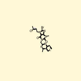 C/C(Cl)=C/Cn1c(Br)nc2c1c(=O)n(Cc1nc(C)c3ccccc3n1)c(=O)n2C